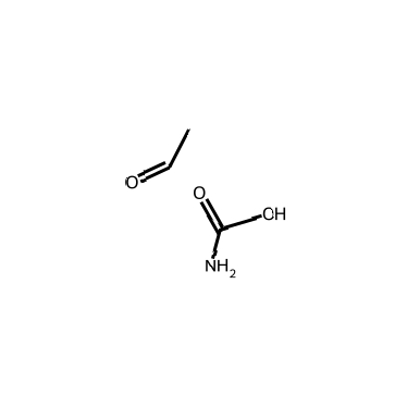 CC=O.NC(=O)O